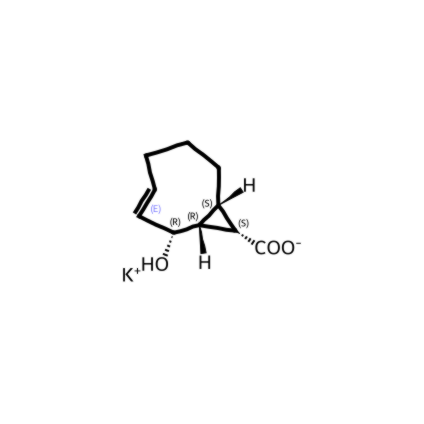 O=C([O-])[C@H]1[C@H]2CCC/C=C/[C@@H](O)[C@H]21.[K+]